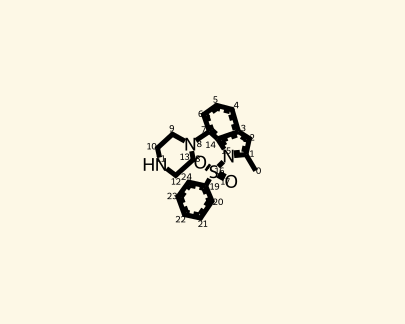 Cc1cc2cccc(N3CCNCC3)c2n1S(=O)(=O)c1ccccc1